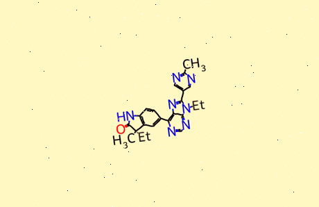 CCn1c(-c2cnc(C)nc2)nc2c(-c3ccc4c(c3)[C@](C)(CC)C(=O)N4)ncnc21